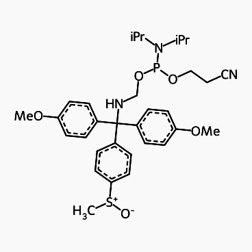 COc1ccc(C(NCOP(OCCC#N)N(C(C)C)C(C)C)(c2ccc(OC)cc2)c2ccc([S+](C)[O-])cc2)cc1